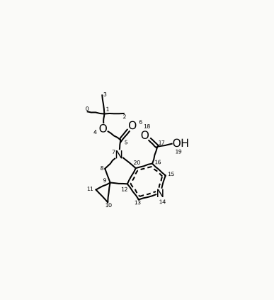 CC(C)(C)OC(=O)N1CC2(CC2)c2cncc(C(=O)O)c21